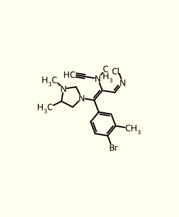 C#CN(C)C(/C=N\Cl)=C(/c1ccc(Br)c(C)c1)N1CC(C)N(C)C1